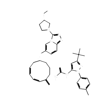 C=C1/C=C\C=C/C[C@H](Oc2ccc3nnc(N4CC[C@H](CO)C4)n3c2)CC[C@@H]1NC(=O)Nc1cc(C(C)(C)C)nn1-c1ccc(C)cc1